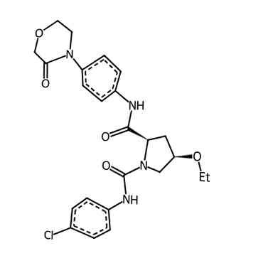 CCO[C@@H]1C[C@H](C(=O)Nc2ccc(N3CCOCC3=O)cc2)N(C(=O)Nc2ccc(Cl)cc2)C1